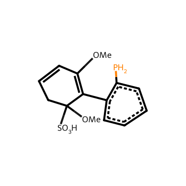 COC1=C(c2ccccc2P)C(OC)(S(=O)(=O)O)CC=C1